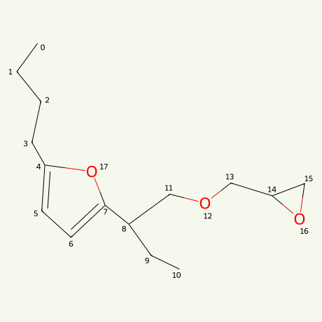 CCCCc1ccc(C(CC)COCC2CO2)o1